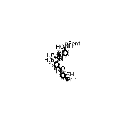 CCCCCNC(O)C1CCC[C@@H](n2nc(-c3cccc(C(=O)Nc4ccc(C(C)C)c(C)c4)c3)c(C(C)N)c2C(C)CC)C1